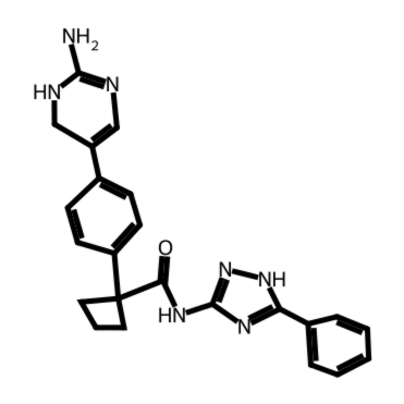 NC1=NC=C(c2ccc(C3(C(=O)Nc4n[nH]c(-c5ccccc5)n4)CCC3)cc2)CN1